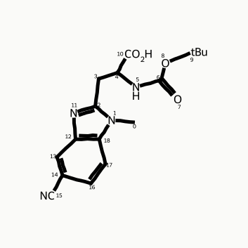 Cn1c(CC(NC(=O)OC(C)(C)C)C(=O)O)nc2cc(C#N)ccc21